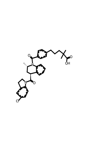 C[C@H]1C[C@H](C(=O)N2CCc3cc(Cl)ccc32)c2ccccc2N1C(=O)c1ccc(CCCC(C)(C)C(=O)O)cc1